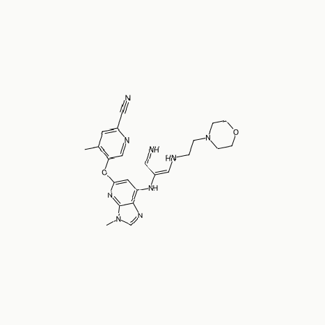 Cc1cc(C#N)ncc1Oc1cc(N/C(C=N)=C/NCCN2CCOCC2)c2ncn(C)c2n1